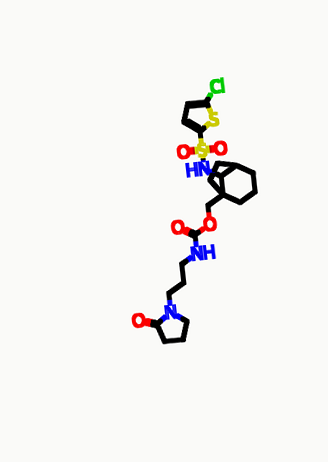 O=C(NCCCN1CCCC1=O)OCC12CCCC(CC1)C2NS(=O)(=O)c1ccc(Cl)s1